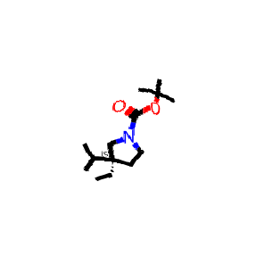 CC[C@@]1(C(C)C)CCN(C(=O)OC(C)(C)C)C1